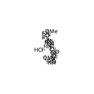 COC[C@@H]1CN[C@H](C(=O)N2CCN(C(=O)c3ccc(Nc4nccn5c(-c6ccc(OC)c(F)c6F)cnc45)cc3C)CC2)C1.Cl